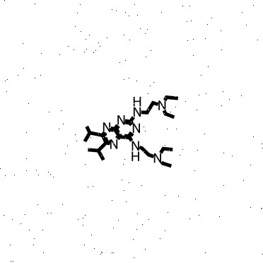 CCN(CC)CCNc1nc(NCCN(CC)CC)c2nc(C(C)C)c(C(C)C)nc2n1